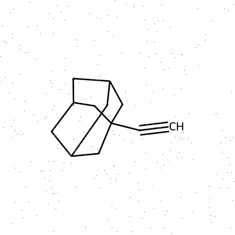 C#CC12C[C]3CC(CC(C3)C1)C2